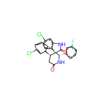 O=C1C[C@@H](C2C=C(Cl)C=CC2)[C@]2(C(=O)Nc3cc(Cl)ccc32)[C@H](c2cccc(F)c2)N1